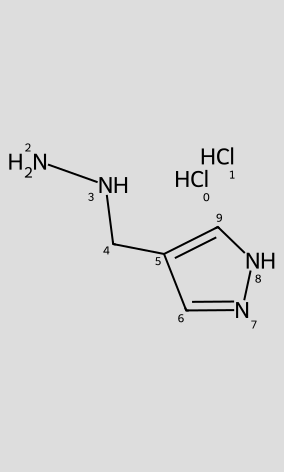 Cl.Cl.NNCc1cn[nH]c1